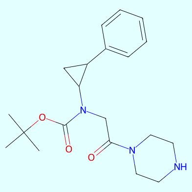 CC(C)(C)OC(=O)N(CC(=O)N1CCNCC1)C1CC1c1ccccc1